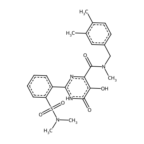 Cc1ccc(CN(C)C(=O)c2nc(-c3ccccc3S(=O)(=O)N(C)C)[nH]c(=O)c2O)cc1C